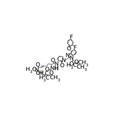 CN(C)C(=O)/C=C/CCC(NC(=O)OC(C)(C)C)C(=O)Nc1cccn(Cc2nc3c(Oc4ccc(F)cc4F)cccc3n2C(=O)OC(C)(C)C)c1=O